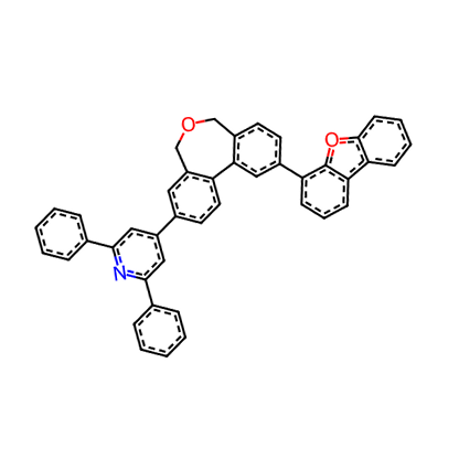 c1ccc(-c2cc(-c3ccc4c(c3)COCc3ccc(-c5cccc6c5oc5ccccc56)cc3-4)cc(-c3ccccc3)n2)cc1